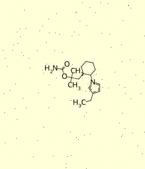 CCc1ccn(C2CCCCC2CC(C)(C)OC(N)=O)c1